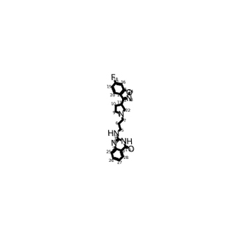 O=c1[nH]c(NCCCN2CCC(c3noc4cc(F)ccc34)C2)nc2ccccc12